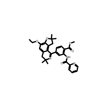 CCOc1cc2c(c3c1OC(C)(C)C3)C(c1ccc(C(=O)OC)c(NC(=O)c3ccccn3)c1)=NC(C)(C)C2